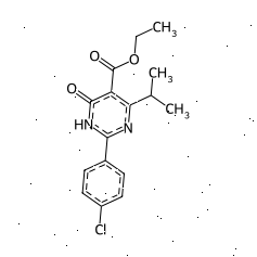 CCOC(=O)c1c(C(C)C)nc(-c2ccc(Cl)cc2)[nH]c1=O